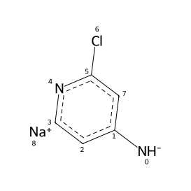 [NH-]c1ccnc(Cl)c1.[Na+]